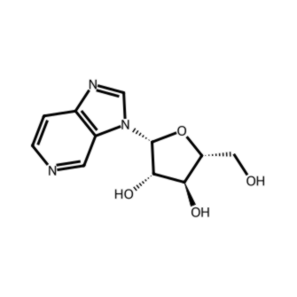 OC[C@H]1O[C@@H](n2cnc3ccncc32)[C@@H](O)[C@@H]1O